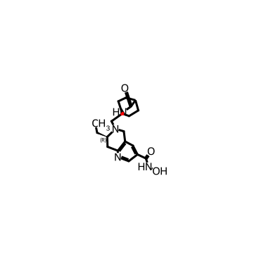 CC[C@@H]1Cc2ncc(C(=O)NO)cc2CN1CC12CCC(CC1)C(=O)N2